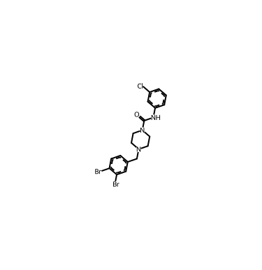 O=C(Nc1cccc(Cl)c1)N1CCN(Cc2ccc(Br)c(Br)c2)CC1